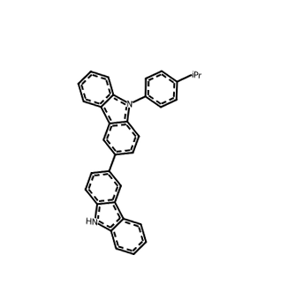 CC(C)c1ccc(-n2c3ccccc3c3cc(-c4ccc5[nH]c6ccccc6c5c4)ccc32)cc1